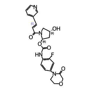 O=C(Nc1ccc(N2CCOCC2=O)cc1F)O[C@@H]1C[C@@H](O)CN1C(=O)/C=C/c1cccnc1